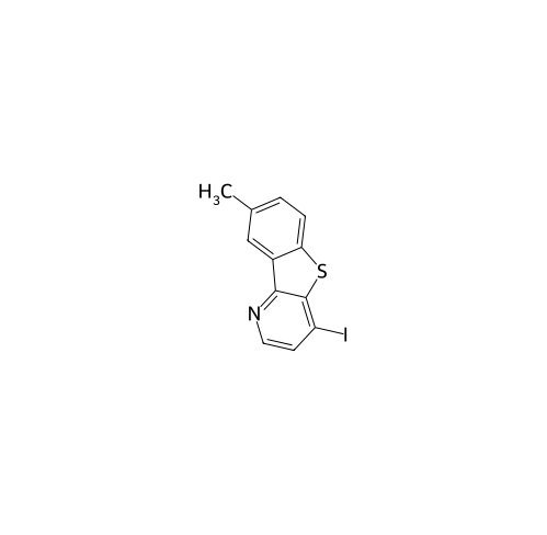 Cc1ccc2sc3c(I)ccnc3c2c1